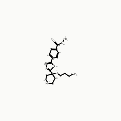 CCCCOC1(c2nnc(-c3ccc(C(=O)OC)cc3)s2)CCNCC1